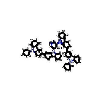 c1ccc(-n2c3ccccc3c3cc(-c4ccc5c6ccccc6n(-c6cncc(-n7c8ccccc8c8ccc(-c9ccc%10c(c9)c9ccccc9n%10-c9ccccc9)cc87)c6)c5c4)ccc32)cc1